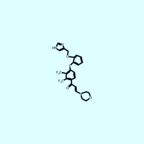 O=C(C=CN1CCOCC1)c1ccc(Sc2ccccc2OCc2c[nH]cn2)c(C(F)(F)F)c1C(F)(F)F